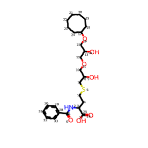 O=C(NC(CCSCC(O)COCC(O)COC1CCCCCCC1)C(=O)O)c1ccccc1